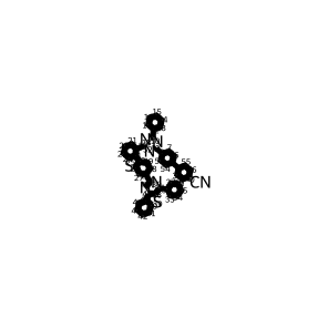 N#Cc1ccc(-c2ccc(-c3nc(-c4ccccc4)nc(-c4cccc5sc6cc(-c7nc(-c8ccccc8)c8sc9ccccc9c8n7)ccc6c45)n3)cc2)cc1